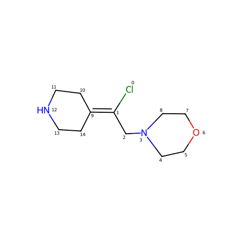 ClC(CN1CCOCC1)=C1CCNCC1